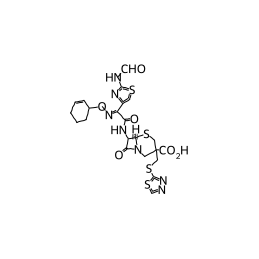 O=CNc1nc(C(=NOC2C=CCCC2)C(=O)NC2C(=O)N3CC(CSc4nncs4)(C(=O)O)CS[C@H]23)cs1